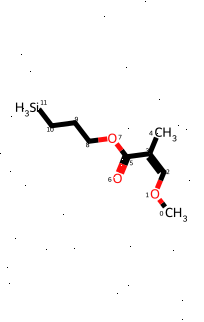 COC=C(C)C(=O)OCCC[SiH3]